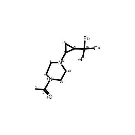 CC(=O)N1CCN(C2CC2C(F)(F)F)CC1